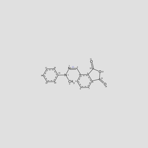 CN(/N=C\c1cccc2c1C(=O)OC2=O)c1ccccc1